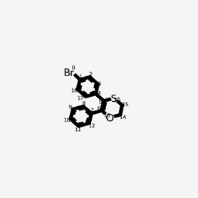 Brc1ccc(C2=C(c3ccccc3)OCCS2)cc1